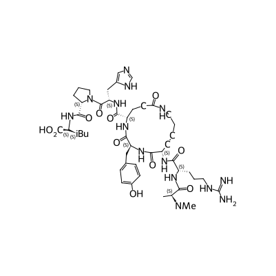 CC[C@H](C)[C@H](NC(=O)[C@@H]1CCCN1C(=O)[C@H](Cc1cnc[nH]1)NC(=O)[C@@H]1CCC(=O)NCCCC[C@H](NC(=O)[C@H](CCCNC(=N)N)NC(=O)[C@H](C)NC)C(=O)N[C@@H](Cc2ccc(O)cc2)C(=O)N1)C(=O)O